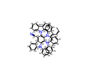 C/C=C\c1c(C)n(-c2c(-n3c4ccccc4c4ccccc43)c(C#N)c3c4ccccc4n(-c4ccccc4)c3c2-n2c3ccccc3c3ccccc32)c2ccccc12